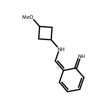 COC1CC(N/C=C2/C=CC=CC2=N)C1